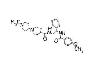 COc1ccc(C(=O)NC(CNC(=O)C2CCN(C3CCN(C)CC3)CC2)c2ccccc2)cc1